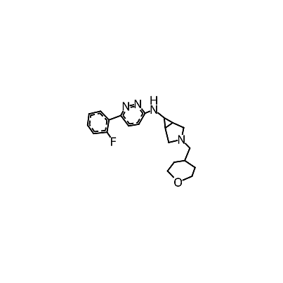 Fc1ccccc1-c1ccc(NC2C3CN(CC4CCOCC4)CC32)nn1